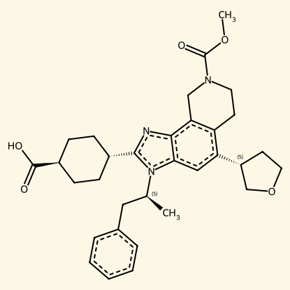 COC(=O)N1CCc2c([C@@H]3CCOC3)cc3c(nc([C@H]4CC[C@H](C(=O)O)CC4)n3[C@@H](C)Cc3ccccc3)c2C1